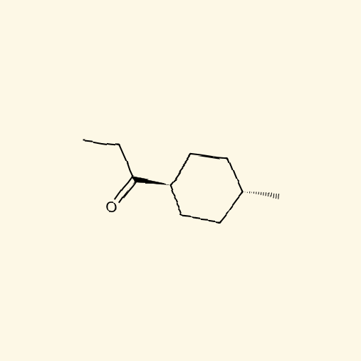 CCC(=O)[C@H]1CC[C@H](C)CC1